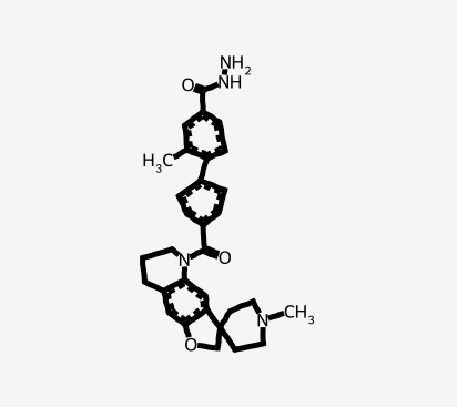 Cc1cc(C(=O)NN)ccc1-c1ccc(C(=O)N2CCCc3cc4c(cc32)C2(CCN(C)CC2)CO4)cc1